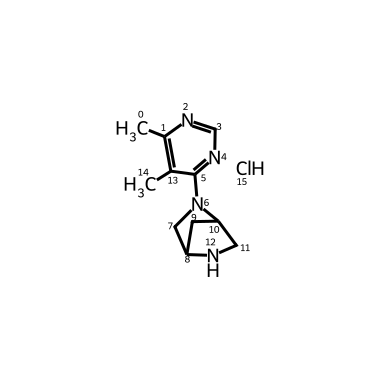 Cc1ncnc(N2CC3CC2CN3)c1C.Cl